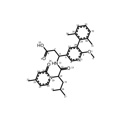 COc1ncc(C(CC(=O)O)NC(=O)C(CC(C)C)n2ccc(C)cc2=O)cc1-c1c(C)cccc1C